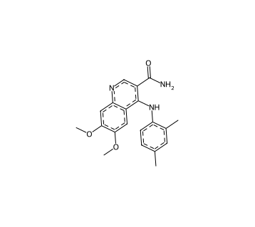 COc1cc2ncc(C(N)=O)c(Nc3ccc(C)cc3C)c2cc1OC